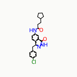 O=C(CCC1CCCC1)Nc1ccc2c(Cc3ccc(Cl)cc3)n[nH]c(=O)c2c1